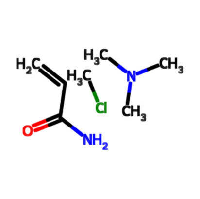 C=CC(N)=O.CCl.CN(C)C